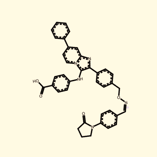 O=C(O)c1ccc(Nc2c(-c3ccc(CO/N=C\c4ccc(N5CCCC5=O)cc4)cc3)nc3cc(-c4ccccc4)ccn23)cc1